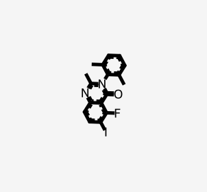 Cc1cccc(C)c1-n1c(C)nc2ccc(I)c(F)c2c1=O